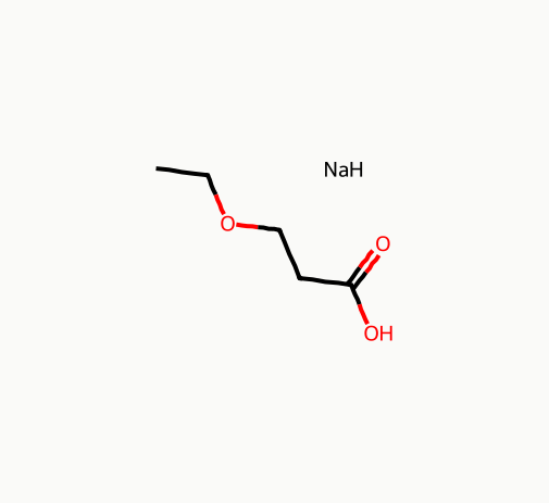 CCOCCC(=O)O.[NaH]